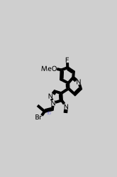 C=Nc1c(-c2ccnc3cc(F)c(OC)cc23)cnn1/C=C(\C)Br